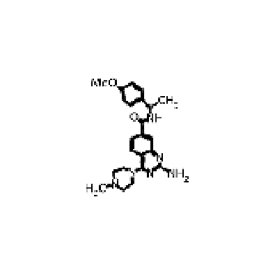 COc1ccc([C@@H](C)NC(=O)c2ccc3c(N4CCN(C)CC4)nc(N)nc3c2)cc1